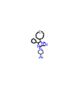 CN(C)C1CCN(c2nc(-c3ccccc3)c(-c3ccccccccc3)n3cncc23)CC1